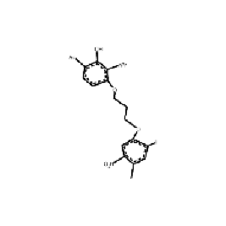 CCCc1c(OCCCOc2cc([N+](=O)[O-])c(C)cc2I)ccc(C(C)=O)c1O